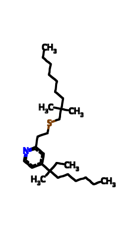 CCCCCCCC(C)(C)CSCCc1cc(C(C)(CC)CCCCCC)ccn1